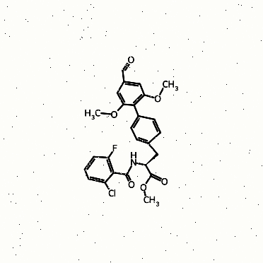 COC(=O)[C@H](Cc1ccc(-c2c(OC)cc(C=O)cc2OC)cc1)NC(=O)c1c(F)cccc1Cl